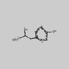 CCOC(=O)C(S)Cc1ccc(O)cc1